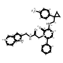 O=C(Cn1c(-c2ccccc2)cnc(NCC2(c3ccc(C(F)(F)F)cc3)CC2)c1=O)NCc1cc2cnccc2[nH]1